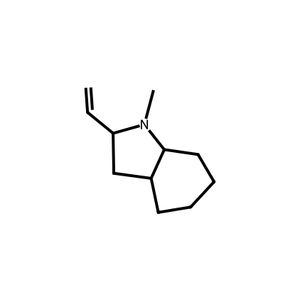 C=CC1CC2CCCCC2N1C